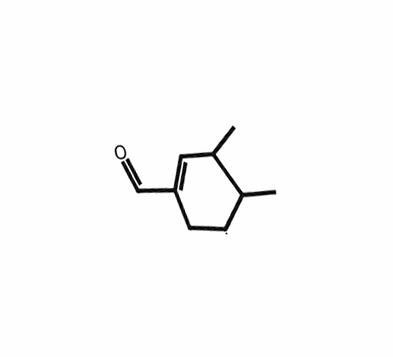 CC1[CH]CC(C=O)=CC1C